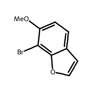 COc1ccc2ccoc2c1Br